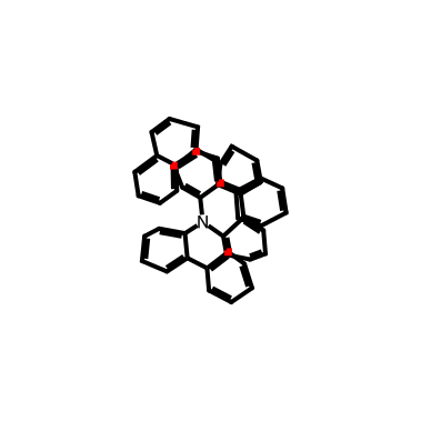 c1ccc(-c2ccccc2N(c2ccccc2-c2ccccc2)c2ccccc2-c2cccc(-c3cccc4ccccc34)c2)cc1